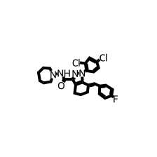 O=C(NN1CCCCCC1)c1nn(-c2ccc(Cl)cc2Cl)c2c1CCC/C2=C\c1ccc(F)cc1